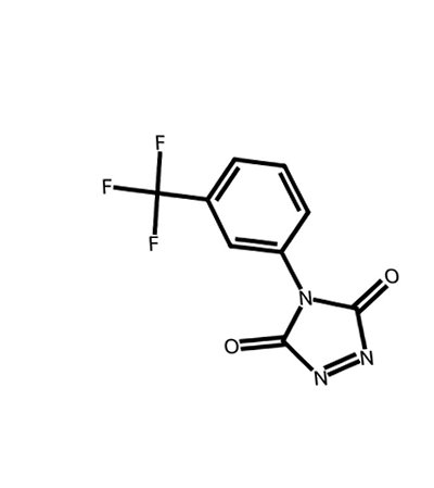 O=C1N=NC(=O)N1c1cccc(C(F)(F)F)c1